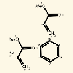 C=CC(=O)OC.C=CC(=O)OC.[Ru].c1ccccc1